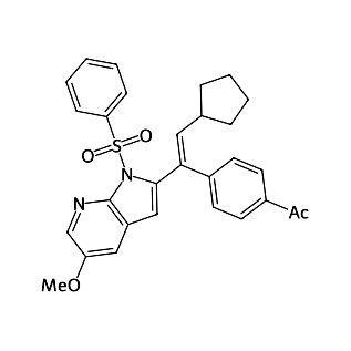 COc1cnc2c(c1)cc(C(=CC1CCCC1)c1ccc(C(C)=O)cc1)n2S(=O)(=O)c1ccccc1